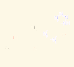 C=CCc1c(OCc2cccn3c(=O)c(-c4nnn[nH]4)cnc23)ccc(C(C)=O)c1O